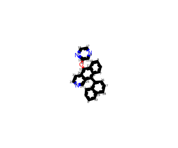 c1ccc2c(-c3c4ccccc4c(Oc4cnccn4)c4ccncc34)cccc2c1